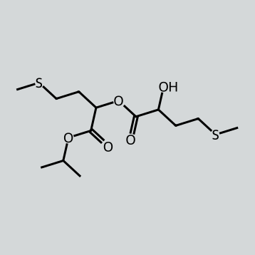 CSCCC(O)C(=O)OC(CCSC)C(=O)OC(C)C